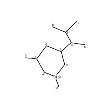 CC1CC(C(C)C(C)C)CN(C)C1